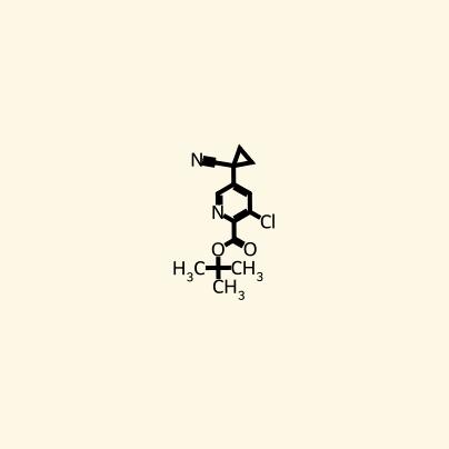 CC(C)(C)OC(=O)c1ncc(C2(C#N)CC2)cc1Cl